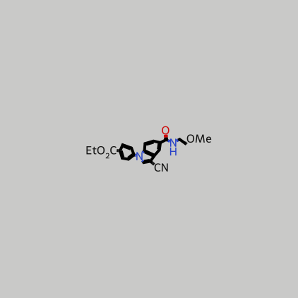 CCOC(=O)c1ccc(-n2cc(C#N)c3cc(C(=O)NCCOC)ccc32)cc1